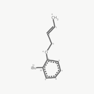 C/C=C/COc1ccccc1C(C)CC